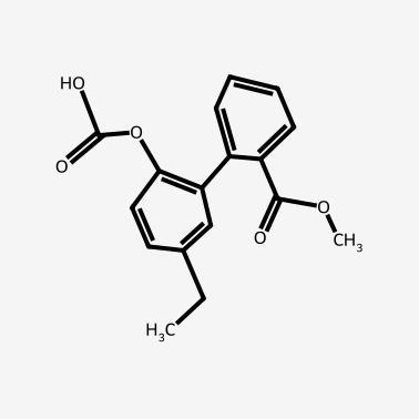 CCc1ccc(OC(=O)O)c(-c2ccccc2C(=O)OC)c1